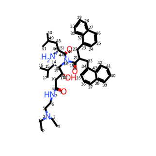 CCN(CC)CCNC(=O)C[C@H](O)[C@H](CC(C)C)N(C(=O)C(Cc1cccc2ccccc12)Cc1cccc2ccccc12)C(=O)[C@@H](N)CC(C)C